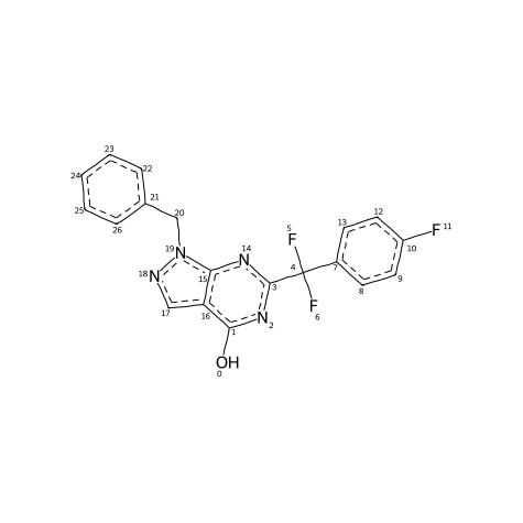 Oc1nc(C(F)(F)c2ccc(F)cc2)nc2c1cnn2Cc1ccccc1